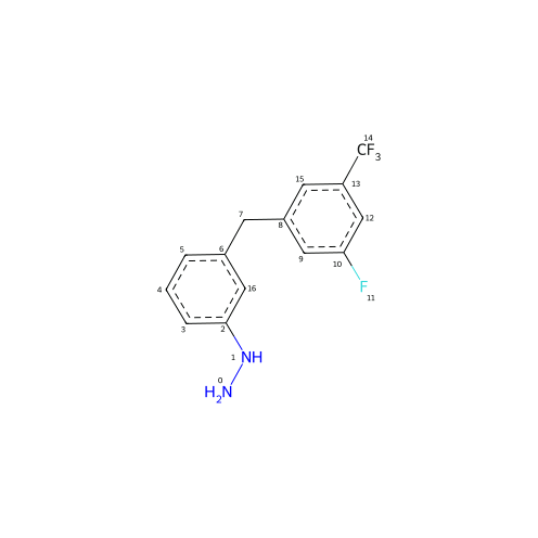 NNc1cccc(Cc2cc(F)cc(C(F)(F)F)c2)c1